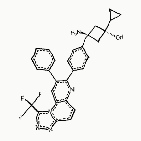 N[C@]1(c2ccc(-c3nc4ccc5nnc(C(F)(F)F)n5c4cc3-c3ccccc3)cc2)C[C@](O)(C2CC2)C1